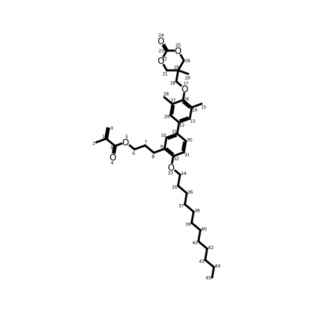 C=C(C)C(=O)OCCCc1cc(-c2cc(C)c(OCC3(C)COC(=O)OC3)c(C)c2)ccc1OCCCCCCCCCCCC